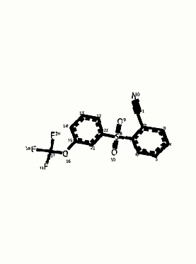 N#Cc1ccccc1S(=O)(=O)c1cccc(OC(F)(F)F)c1